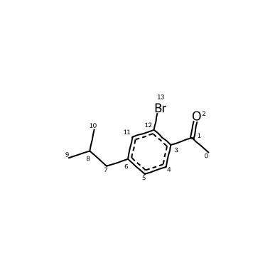 CC(=O)c1ccc(CC(C)C)cc1Br